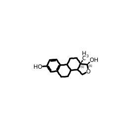 C[C@]12CCC3c4ccc(O)cc4CCC3C1CO[C@@H]2O